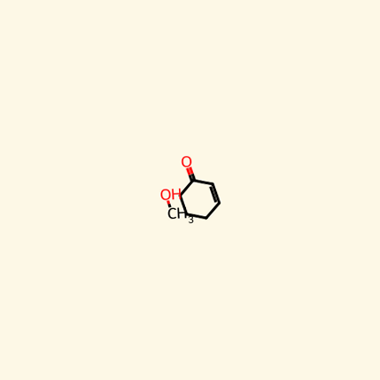 CO.O=C1C=CCCC1